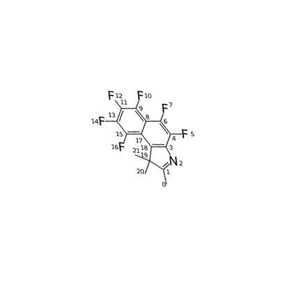 CC1=Nc2c(F)c(F)c3c(F)c(F)c(F)c(F)c3c2C1(C)C